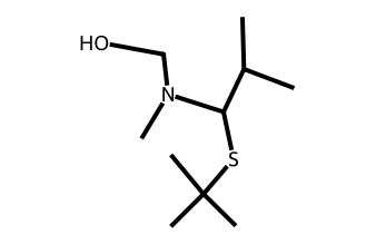 CC(C)C(SC(C)(C)C)N(C)CO